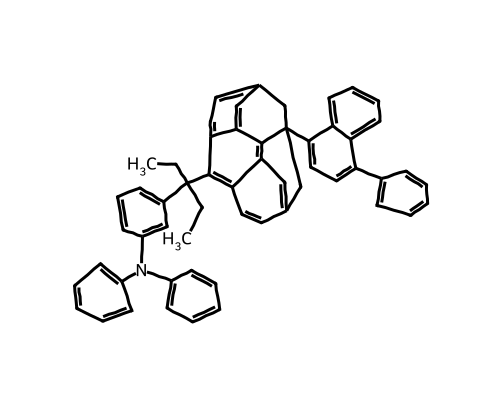 CCC(CC)(c1cccc(N(c2ccccc2)c2ccccc2)c1)c1c2ccc3cc2c2c4cc(ccc14)CC2(c1ccc(-c2ccccc2)c2ccccc12)C3